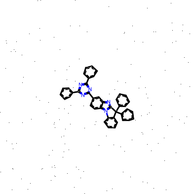 c1ccc(-c2nc(-c3ccccc3)nc(-c3ccc4c(c3)nc3n4-c4ccccc4C3(c3ccccc3)c3ccccc3)n2)cc1